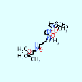 CCO[Si]1(CCCNC(=O)CCCCCN(C)C(=O)[C@@H]2CCCN2C(=O)[C@@H]2CCCN2C(=O)C(C)(C)C)C(C)C1C